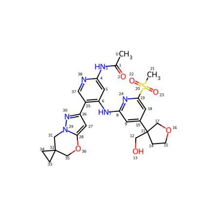 CC(=O)Nc1cc(Nc2cc(C3(CO)CCOC3)cc(S(C)(=O)=O)n2)c(-c2cc3n(n2)CC2(CC2)CO3)cn1